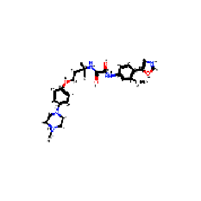 COc1cc(NC(=O)C(=O)NC(C)(C)CCOc2ccc(N3CCN(C(C)=O)CC3)cc2)ccc1-c1cnco1